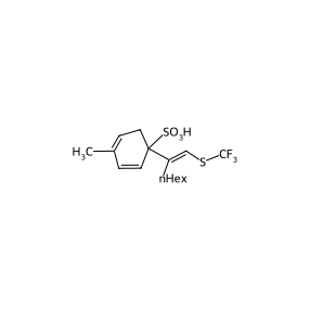 CCCCCC/C(=C\SC(F)(F)F)C1(S(=O)(=O)O)C=CC(C)=CC1